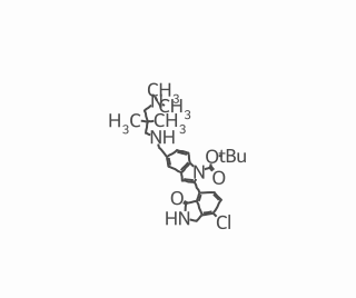 CN(C)CC(C)(C)CNCc1ccc2c(c1)cc(-c1ccc(Cl)c3c1C(=O)NC3)n2C(=O)OC(C)(C)C